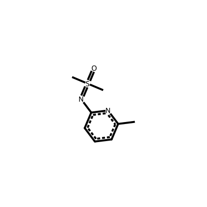 Cc1cccc(N=S(C)(C)=O)n1